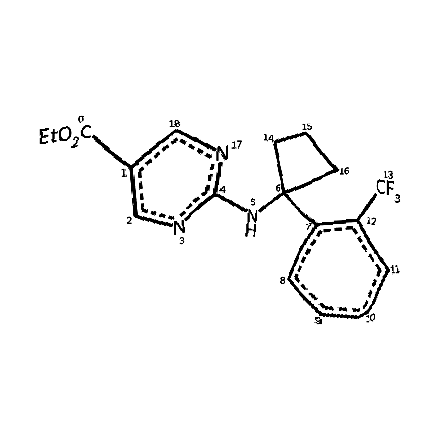 CCOC(=O)c1cnc(NC2(c3ccccc3C(F)(F)F)CCC2)nc1